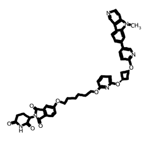 Cn1c2ccncc2c2ccc(-c3ccc(O[C@H]4C[C@H](Oc5cccc(OCCCCCCOc6ccc7c(c6)C(=O)N(C6CCC(=O)NC6=O)C7=O)n5)C4)nc3)cc21